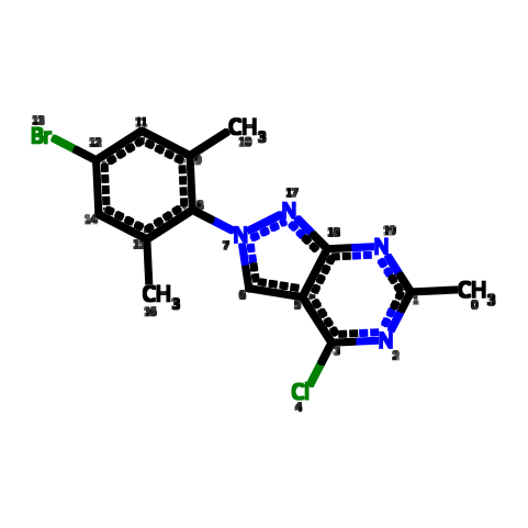 Cc1nc(Cl)c2cn(-c3c(C)cc(Br)cc3C)nc2n1